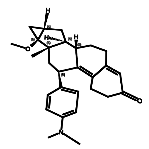 CO[C@@]12C[C@@H]1C[C@H]1[C@@H]3CCC4=CC(=O)CCC4=C3[C@@H](c3ccc(N(C)C)cc3)C[C@@]12C